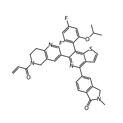 C=CC(=O)N1CCc2ncc(-c3nc(-c4ccc5c(c4)CN(C)C5=O)c4ccsc4c3-c3c(F)cc(F)cc3OC(C)C)cc2C1